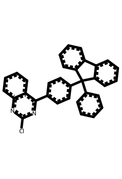 Clc1nc(-c2ccc(C3(c4ccccc4)c4ccccc4-c4ccccc43)cc2)c2ccccc2n1